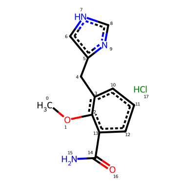 COc1c(Cc2c[nH]cn2)cccc1C(N)=O.Cl